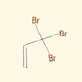 [CH]=CC(Br)(Br)Br